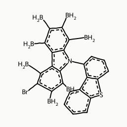 Bc1c(B)c(B)c2c(c1B)c1c(B)c(Br)c(B)c(B)c1n2-c1cccc2sc3ccccc3c12